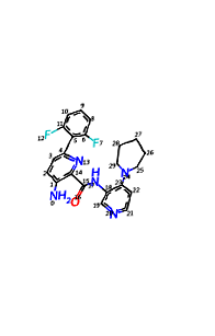 Nc1ccc(-c2c(F)cccc2F)nc1C(=O)Nc1cnccc1N1CCCCC1